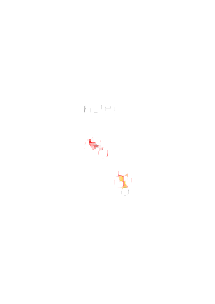 CCCCCCCCCCCCCCCCC[C@@H]1OC[C@@H](COCCCCCCOS(=O)(=O)c2ccc(C)cc2)O1